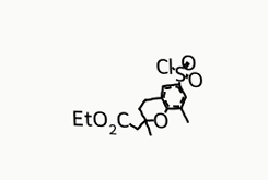 CCOC(=O)CC1(C)CCc2cc(S(=O)(=O)Cl)cc(C)c2O1